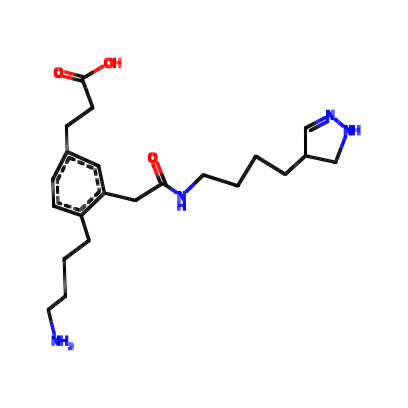 NCCCCc1ccc(CCC(=O)O)cc1CC(=O)NCCCCC1C=NNC1